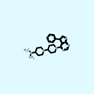 CN(C)C1CCN(C2CCN(c3ncnc4scc(-c5ccccc5)c34)CC2)CC1